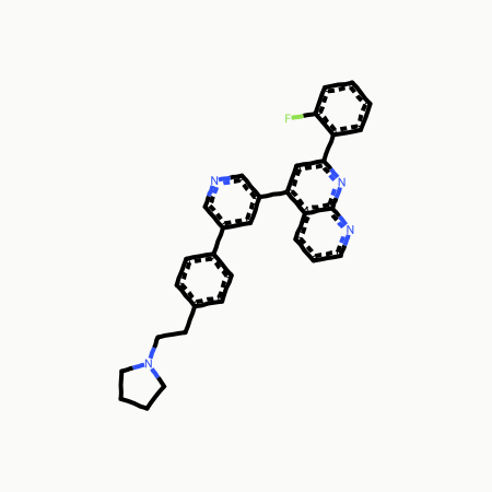 Fc1ccccc1-c1cc(-c2cncc(-c3ccc(CCN4CCCC4)cc3)c2)c2cccnc2n1